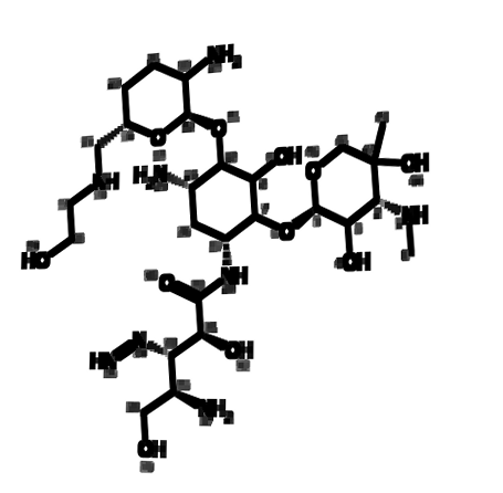 CN[C@@H]1C(O)[C@@H](OC2C(O)C(O[C@H]3O[C@H](CNCCO)CCC3N)[C@@H](N)C[C@H]2NC(=O)[C@@H](O)[C@@H](N=N)[C@@H](N)CO)OCC1(C)O